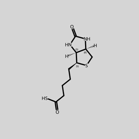 O=C(S)CCCC[C@@H]1SC[C@@H]2NC(=O)N[C@@H]21